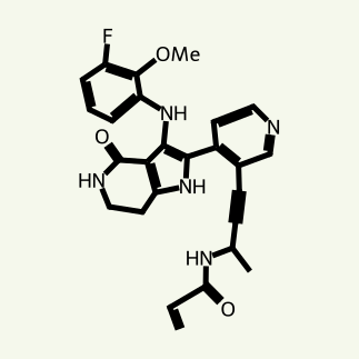 C=CC(=O)NC(C)C#Cc1cnccc1-c1[nH]c2c(c1Nc1cccc(F)c1OC)C(=O)NCC2